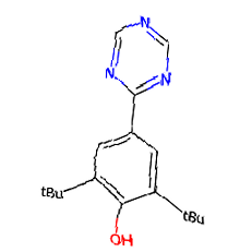 CC(C)(C)c1cc(-c2ncncn2)cc(C(C)(C)C)c1O